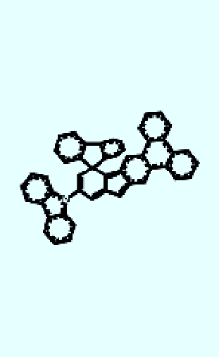 C1=C2C=c3cc4c5ccccc5c5ccccc5c4cc3=C2C2(C=C1n1c3ccccc3c3ccccc31)c1ccccc1-c1ccccc12